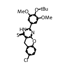 COc1cc(-c2nc3c(c(=S)[nH]2)Cc2cc(Cl)ccc2O3)cc(OC)c1OC(C)(C)C